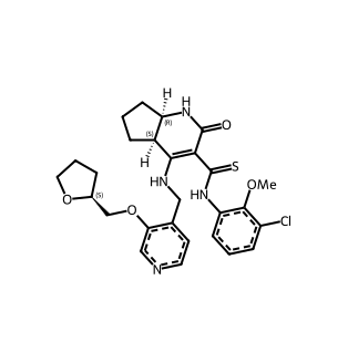 COc1c(Cl)cccc1NC(=S)C1=C(NCc2ccncc2OC[C@@H]2CCCO2)[C@H]2CCC[C@H]2NC1=O